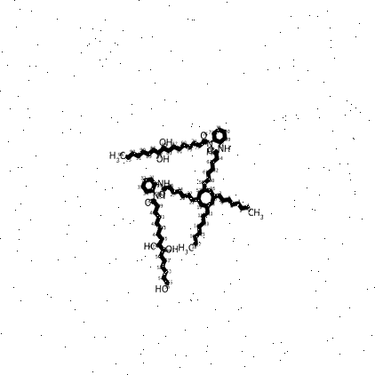 CCCCCCCCC1CC(CCCCCCCC)CC(CCCCCCC(=O)N[C@@H]2CCCC[C@@H]2NC(=O)CCCCCCCC(O)C(O)CCCCCCO)CC(CCCCCCC(=O)N[C@H]2CCCC[C@H]2NC(=O)CCCCCCCC(O)C(O)CCCCCCC)C1